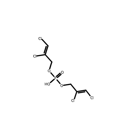 O=P(O)(OCC(Cl)=CCl)OCC(Cl)=CCl